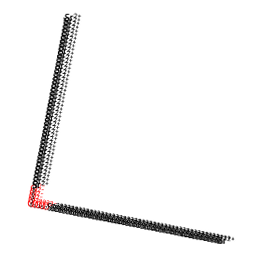 [O-2].[O-2].[O-2].[O-2].[O-2].[O-2].[O-2].[O-2].[O-2].[Sr+2].[Sr+2].[Sr+2].[Sr+2].[Sr+2].[Sr+2].[Sr+2].[Sr+2].[Sr+2].[Sr+2].[Sr+2].[Sr+2].[Sr+2].[Sr+2].[Sr+2].[Sr+2].[Sr+2].[Sr+2].[Sr+2].[Sr+2].[Sr+2].[Sr+2].[Sr+2].[Sr+2].[Sr+2].[Sr+2].[Sr+2].[Sr+2].[Sr+2].[Sr+2].[Sr+2].[Sr+2].[Sr+2].[Sr+2].[Sr+2].[Sr+2].[Sr+2].[Sr+2].[Sr+2].[Sr+2].[Sr+2].[Sr+2].[Sr+2].[Sr+2].[Sr+2].[Sr+2].[Sr+2].[Sr+2].[Sr+2].[Sr+2].[Sr+2].[Sr+2].[Sr+2].[Sr+2].[Sr+2].[Sr+2].[Sr+2].[Sr+2].[Sr+2].[Sr+2].[Sr+2].[Sr+2].[Sr+2].[Sr+2].[Sr+2].[Sr+2].[Sr+2].[Sr+2].[Sr+2].[Sr+2].[Sr+2].[Sr+2].[Sr+2].[Sr+2].[Sr+2].[Sr+2].[Sr+2].[Sr+2].[Sr+2].[Sr+2].[Sr+2].[Sr+2].[Sr+2].[Sr+2].[Sr+2].[Sr+2].[Sr+2].[Sr+2].[Sr+2].[Sr+2].[Sr+2].[Sr+2].[Sr+2]